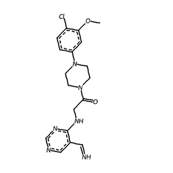 COc1cc(N2CCN(C(=O)CNc3ncncc3C=N)CC2)ccc1Cl